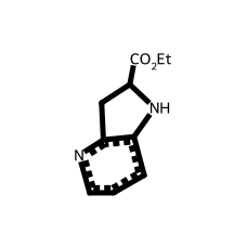 CCOC(=O)C1Cc2ncccc2N1